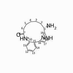 N[C@H]1CCCCCC(=O)Nc2ccccc2-c2c[nH]c1n2